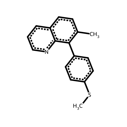 CSc1ccc(-c2c(C)ccc3cccnc23)cc1